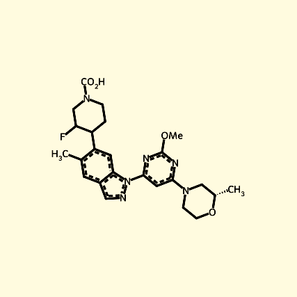 COc1nc(N2CCO[C@@H](C)C2)cc(-n2ncc3cc(C)c(C4CCN(C(=O)O)CC4F)cc32)n1